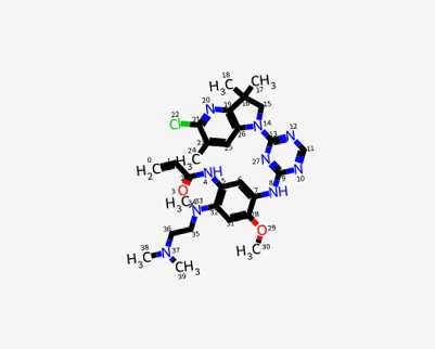 C=CC(=O)Nc1cc(Nc2ncnc(N3CC(C)(C)c4nc(Cl)c(C)cc43)n2)c(OC)cc1N(C)CCN(C)C